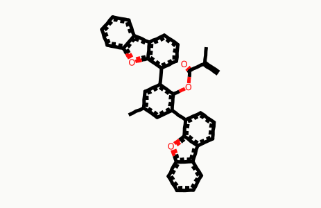 C=C(C)C(=O)Oc1c(-c2cccc3c2oc2ccccc23)cc(C)cc1-c1cccc2c1oc1ccccc12